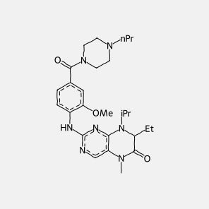 CCCN1CCN(C(=O)c2ccc(Nc3ncc4c(n3)N(C(C)C)C(CC)C(=O)N4C)c(OC)c2)CC1